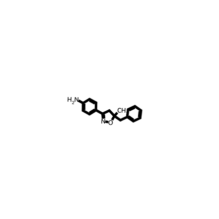 CC1(Cc2ccccc2)CC(c2ccc(N)cc2)=NO1